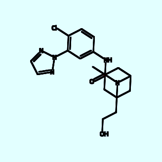 CC1CC2CC(CCO)(C1)N2C(=O)Nc1ccc(Cl)c(-n2nccn2)c1